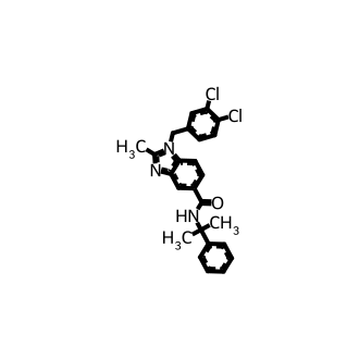 Cc1nc2cc(C(=O)NC(C)(C)c3ccccc3)ccc2n1Cc1ccc(Cl)c(Cl)c1